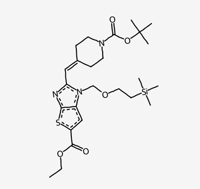 CCOC(=O)c1cc2c(nc(C=C3CCN(C(=O)OC(C)(C)C)CC3)n2COCC[Si](C)(C)C)s1